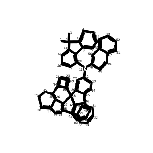 CC1(C)c2ccccc2-c2c(N(c3ccc4c(c3)C3(c5ccccc5C5=c6c3c(-c3ccccc3)ccc6=CCC5)c3ccccc3-4)c3ccc4ccccc4c3)cccc21